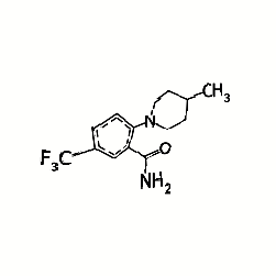 CC1CCN(c2ccc(C(F)(F)F)cc2C(N)=O)CC1